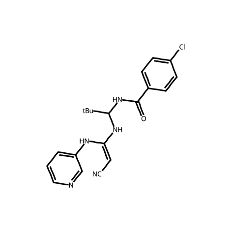 CC(C)(C)C(NC(=O)c1ccc(Cl)cc1)NC(=CC#N)Nc1cccnc1